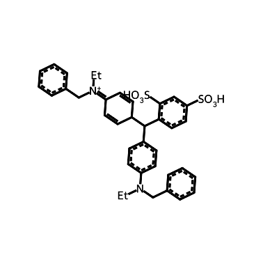 CCN(Cc1ccccc1)c1ccc(C(c2ccc(S(=O)(=O)O)cc2S(=O)(=O)O)C2C=CC(=[N+](CC)Cc3ccccc3)C=C2)cc1